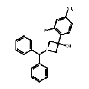 Nc1ccc(C2(O)CN(C(c3ccccc3)c3ccccc3)C2)c(F)c1